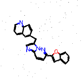 c1cnc2ccc(Cc3cnc4ccc(-c5cc6ccccc6o5)nn34)cc2c1